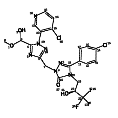 COC(O)c1nc(Cn2nc(-c3ccc(Cl)cc3)n(C[C@H](O)C(F)(F)F)c2=O)nn1-c1cnccc1Cl